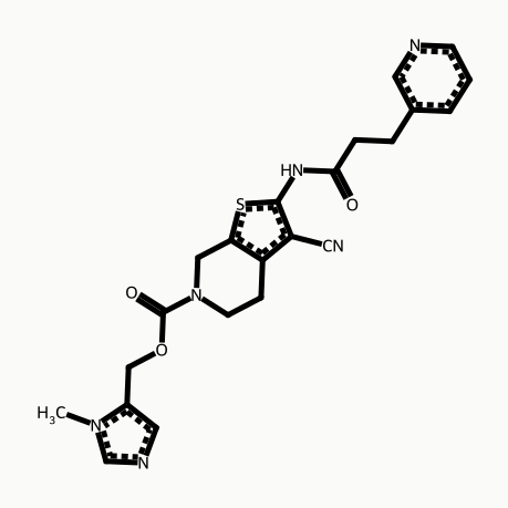 Cn1cncc1COC(=O)N1CCc2c(sc(NC(=O)CCc3cccnc3)c2C#N)C1